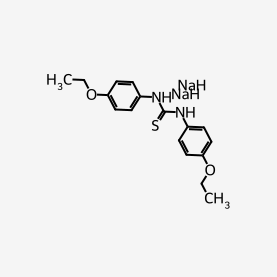 CCOc1ccc(NC(=S)Nc2ccc(OCC)cc2)cc1.[NaH].[NaH]